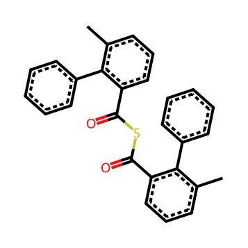 Cc1cccc(C(=O)SC(=O)c2cccc(C)c2-c2ccccc2)c1-c1ccccc1